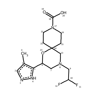 Cc1cn[nH]c1C1CN(CC(F)F)CC2(CCN(C(=O)O)CC2)O1